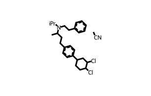 CC#N.CC(C)N(CCc1ccccc1)C(C)CCc1ccc(C2CCC(Cl)C(Cl)C2)cc1